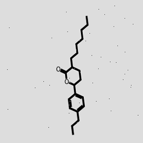 CCCCCCCC1CCC(c2ccc(CCC)cc2)OC1=O